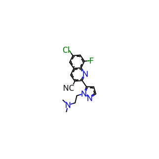 CN(C)CCn1nccc1-c1nc2c(F)cc(Cl)cc2cc1C#N